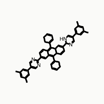 Cc1cc(C)cc(C2=CNC(C3=CC4C(C5=CC=CCC5)=c5ccc(-c6ncc(-c7cc(C)cc(C)c7)cn6)cc5=C(C5=CC=CCC5)C4C=C3)N=C2)c1